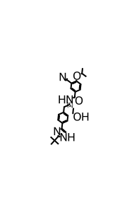 CC(C)Oc1ccc(C(=O)N[C@H](CCO)Cc2ccc(-c3c[nH]c(C(C)(C)C)n3)cc2)cc1C#N